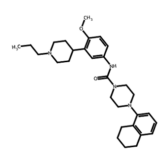 CCCN1CCC(c2cc(NC(=O)N3CCN(c4cccc5c4CCCC5)CC3)ccc2OC)CC1